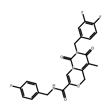 Cc1c2n(c(=O)n(Cc3ccc(F)c(F)c3)c1=O)C=C(C(=O)NCc1ccc(F)cc1)OC2